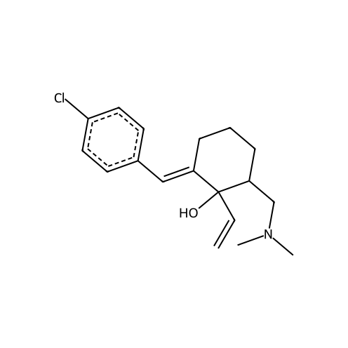 C=CC1(O)C(=Cc2ccc(Cl)cc2)CCCC1CN(C)C